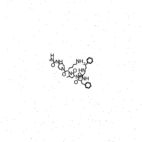 CNC(=O)NC1CCN(C(=O)[C@@H](CCCCN)N2C(=O)[C@H](NC(=O)C(Cc3ccccc3)NC(=O)CNC[C@H](C)c3ccccc3)CC2C)CC1